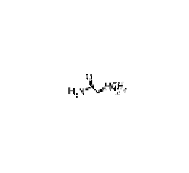 C=CC(N)=O.[13CH4]